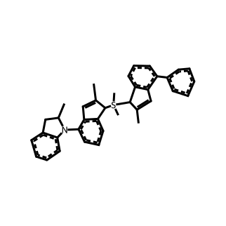 CC1=Cc2c(-c3ccccc3)cccc2C1S(C)(C)C1C(C)=Cc2c1cccc2N1c2ccccc2CC1C